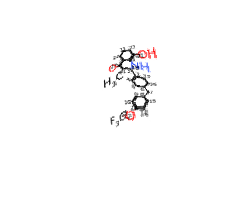 Cc1c(-c2ccc(Cc3ccc(OC(F)(F)F)cc3)cc2)[nH]c2c(O)cccc2c1=O